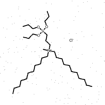 CCCCCCCCCCC[N+](C)(CCCCCCCCCCC)CCC[Si](OCCC)(OCCC)OCCC.[Cl-]